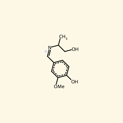 COc1cc(/C=N\C(C)CO)ccc1O